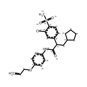 C=CCOc1cnc(NC(=O)C(CC2CCCC2)c2ccc(S(C)(=O)=O)c(Cl)c2)cn1